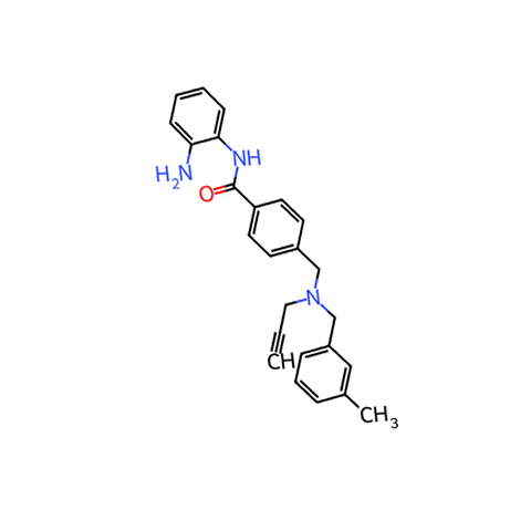 C#CCN(Cc1ccc(C(=O)Nc2ccccc2N)cc1)Cc1cccc(C)c1